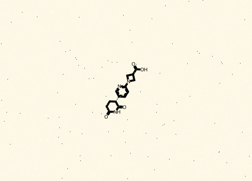 O=C1CC[C@H](c2ccc(N3CC(C(=O)O)C3)nc2)C(=O)N1